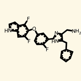 NCc1nc(-c2cc(Oc3c(F)cc4[nH]ccc4c3F)ccc2F)[nH]c1Cc1ccccc1